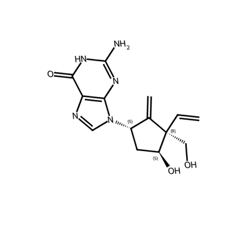 C=C[C@]1(CO)C(=C)[C@@H](n2cnc3c(=O)[nH]c(N)nc32)C[C@@H]1O